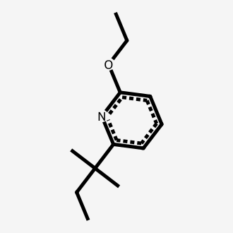 CCOc1cccc(C(C)(C)CC)n1